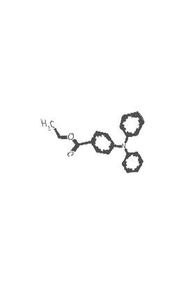 CCOC(=O)c1ccc(N(c2ccccc2)c2ccccc2)cc1